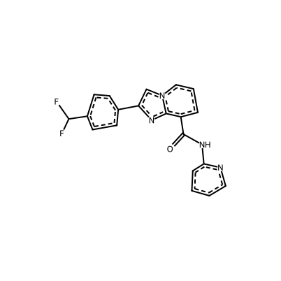 O=C(Nc1ccccn1)c1cccn2cc(-c3ccc(C(F)F)cc3)nc12